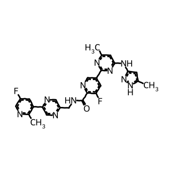 Cc1cc(Nc2cc(C)[nH]n2)nc(-c2cnc(C(=O)NCc3cnc(-c4cc(F)cnc4C)cn3)c(F)c2)n1